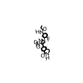 C=CC(=O)Nc1ccc(F)c(-n2cc(-c3ccc4c(c3)CCNC4=O)c([N+](=O)[O-])n2)c1